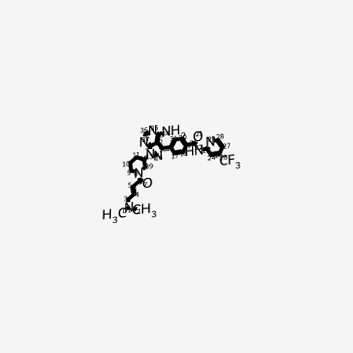 CN(C)CC=CC(=O)N1CCCC(n2nc(-c3ccc(C(=O)Nc4cc(C(F)(F)F)ccn4)cc3)c3c(N)ncnc32)C1